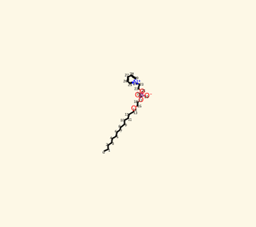 CCCCCCCCCCCCCCOCCOP(=O)([O-])OCC[n+]1ccccc1